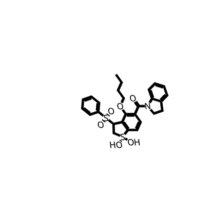 CCCCOc1c(C(=O)N2CCc3ccccc32)ccc2c1C(S(=O)(=O)c1ccccc1)CS2(O)O